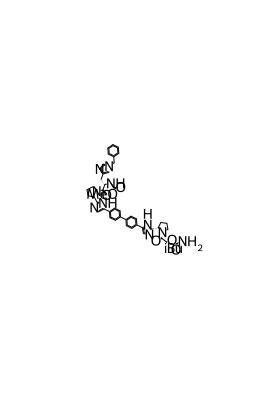 CCC(C)[C@H](OC(N)=O)C(=O)N1CCC[C@H]1c1ncc(-c2ccc(-c3ccc(-c4cnc(C5CCCN5C(=O)[C@H](Cc5cn(Cc6ccccc6)cn5)NC(=O)OC)[nH]4)cc3)cc2)[nH]1